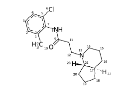 Cc1cccc(Cl)c1NC(=O)CCN1CCC[C@H]2CCC[C@@H]21